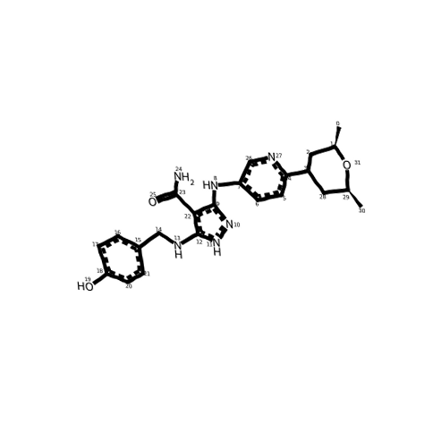 C[C@@H]1CC(c2ccc(Nc3n[nH]c(NCc4ccc(O)cc4)c3C(N)=O)cn2)C[C@H](C)O1